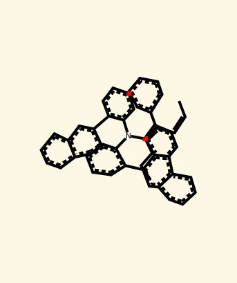 C/C=C\C(=C(/CCC)N(c1ccccc1-c1ccc2ccccc2c1)c1ccccc1-c1cc2ccccc2c2ccccc12)c1ccccc1